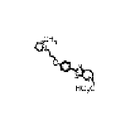 C[C@@H]1CCCN1CCCOc1ccc(-c2nc3c(s2)CN(CC(=O)O)CC3)cc1